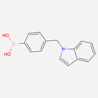 OB(O)c1ccc(Cn2ccc3ccccc32)cc1